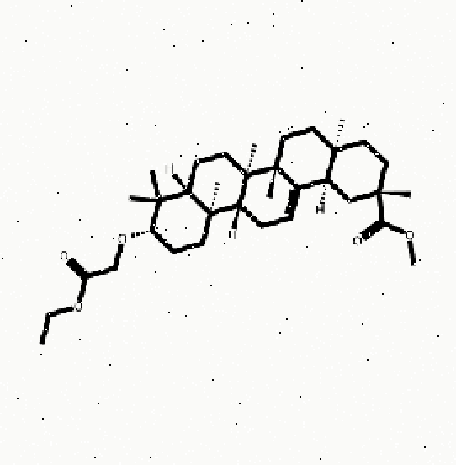 CCOC(=O)CO[C@H]1CC[C@]2(C)[C@H]3CC=C4[C@@H]5C[C@@](C)(C(=O)OC)CC[C@]5(C)CC[C@@]4(C)[C@]3(C)CC[C@H]2C1(C)C